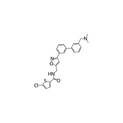 CN(C)Cc1cccc(-c2cccc(-c3cc(CNC(=O)c4ccc(Cl)s4)on3)c2)c1